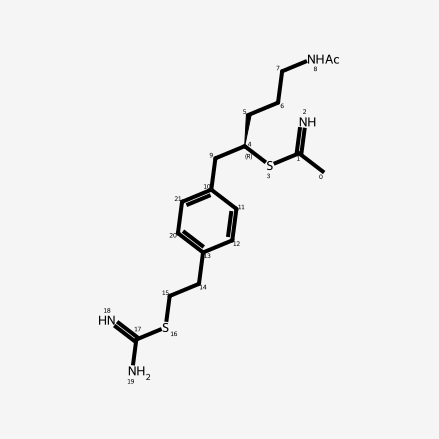 CC(=N)S[C@H](CCCNC(C)=O)Cc1ccc(CCSC(=N)N)cc1